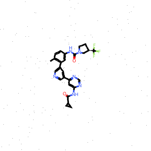 Cc1ccc(NC(=O)N2CC[C@@H](C(F)(F)F)C2)cc1-c1cncc(-c2cc(NC(=O)C3CC3)ncn2)c1